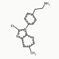 CCc1nc2cc(C)cnc2n1-c1ccc(CCN)cc1